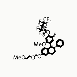 COCCOCOc1ccc2c(c1)CC[C@H](c1ccccc1)[C@@H]2c1cc(F)c(OS(=O)(=O)C(F)(F)C(F)(F)C(F)(F)C(F)(F)F)cc1OC